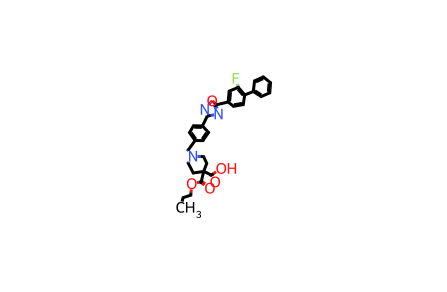 CCCOC(=O)C1(C(=O)O)CCN(Cc2ccc(-c3noc(-c4ccc(-c5ccccc5)c(F)c4)n3)cc2)CC1